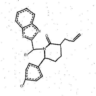 C=CCC1CCC(c2ccc(Cl)cc2)N(C(CC)c2nc3ccccc3s2)C1=O